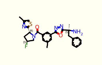 Cc1cc(C(=O)N2C[C@@H](F)C[C@@H]2c2nc(C)cs2)cc(-c2nnc([C@@](C)(N)Cc3ccccc3)o2)c1